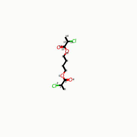 CC(Cl)C(=O)OCCCCOC(=O)C(C)Cl